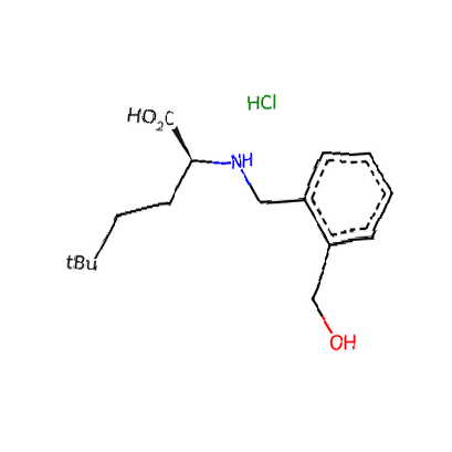 CC(C)(C)CC[C@H](NCc1ccccc1CO)C(=O)O.Cl